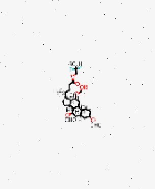 C[C@H](CCC(=O)OCC(F)(F)S(=O)(=O)O)[C@H]1CC[C@H]2[C@@H]3C(OC=O)C[C@@H]4CC(OC=O)CC[C@]4(C)[C@H]3CC(OCO)[C@]12C